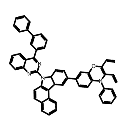 C=CC1=C(C=C)N(c2ccccc2)c2ccc(C3=CC4c5c(ccc6ccccc56)N(c5nc(-c6cccc(-c7ccccc7)c6)c6ccccc6n5)C4C=C3)cc2O1